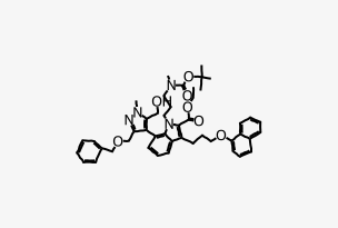 CCOC(=O)c1c(CCCOc2cccc3ccccc23)c2cccc(-c3c(COCc4ccccc4)nn(C)c3CO)c2n1CCCN(C)C(=O)OC(C)(C)C